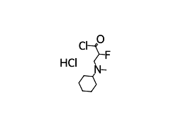 CN(CC(F)C(=O)Cl)C1CCCCC1.Cl